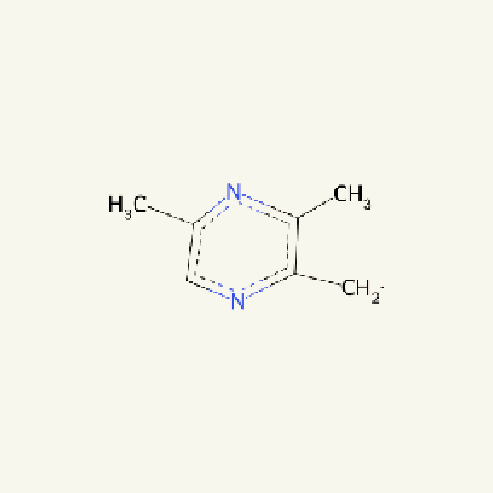 [CH2]c1ncc(C)nc1C